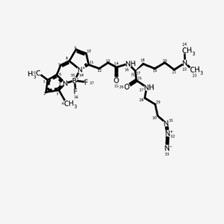 Cc1cc(C)n2c1C=C1C=CC(CCC(=O)N[C@@H](CCCCN(C)C)C(=O)NCCCN=[N+]=[N-])=[N+]1[B-]2(F)F